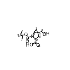 CC(C)(C)OC(=O)N1C2CC2(CO)C[C@H]1C(=O)O